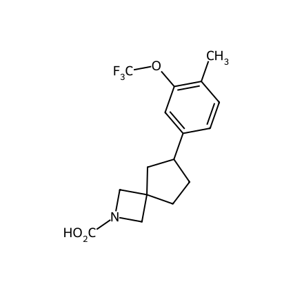 Cc1ccc(C2CCC3(C2)CN(C(=O)O)C3)cc1OC(F)(F)F